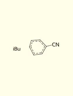 CC[C@H](C)c1ccc(C#N)cc1